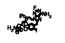 CC(C)N(CCCOS(N)(=O)=O)CCn1c(Cc2cc3c(cc2I)OCO3)nc2c(N)nc(F)nc21